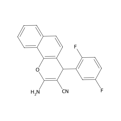 N#CC1=C(N)Oc2c(ccc3ccccc23)C1c1cc(F)ccc1F